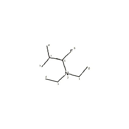 CCN(CC)C(F)C(C)C